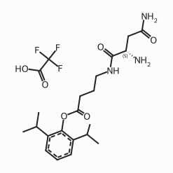 CC(C)c1cccc(C(C)C)c1OC(=O)CCCNC(=O)[C@@H](N)CC(N)=O.O=C(O)C(F)(F)F